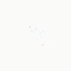 CCC(C)Nc1c(C(=O)O)c(C(F)F)nn1-c1ccc(S(C)(=O)=O)cn1